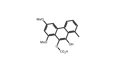 COc1cc(OC)c2c(OC(=O)O)c(O)c3c(C)cccc3c2c1